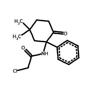 CC1(C)CCC(=O)C(NC(=O)CCl)(c2ccccc2)C1